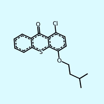 CC(C)CCOc1ccc(Cl)c2c(=O)c3ccccc3sc12